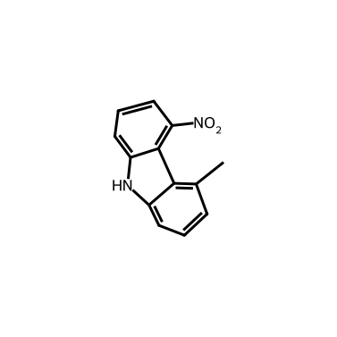 Cc1cccc2[nH]c3cccc([N+](=O)[O-])c3c12